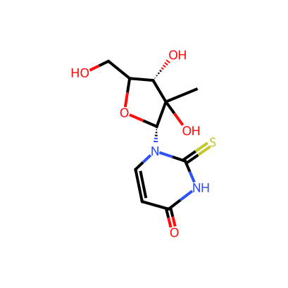 CC1(O)[C@@H](O)C(CO)O[C@H]1n1ccc(=O)[nH]c1=S